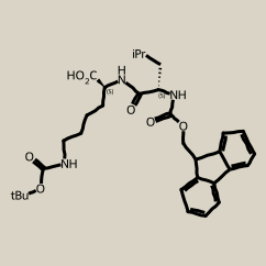 CC(C)C[C@H](NC(=O)OCC1c2ccccc2-c2ccccc21)C(=O)N[C@@H](CCCCNC(=O)OC(C)(C)C)C(=O)O